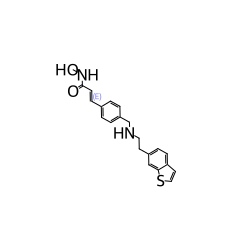 O=C(/C=C/c1ccc(CNCCc2ccc3ccsc3c2)cc1)NO